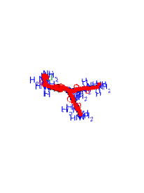 N=C(N)NCCCC[C@H](N)C(=O)NCCCC[C@H](N)C(=O)NCCCN(CCCNC(=O)[C@@H](N)CCCCNC(=O)[C@@H](N)CCCCNC(=N)N)CCOc1ccc(CCCCNC(=N)NC(=O)c2nc(Cl)c(N)nc2N)cc1